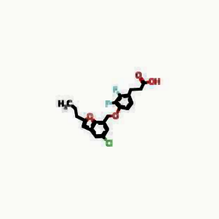 CCCc1cc2cc(Cl)cc(COc3ccc(CCC(=O)O)c(F)c3F)c2o1